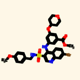 COC(=O)c1cc(Nc2c(S(=O)(=O)NCc3ccc(OC)cc3)cnc3cc(Br)ccc23)cc(OC2CCOCC2)c1